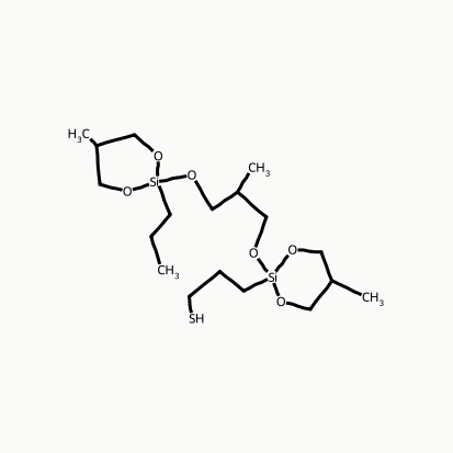 CCC[Si]1(OCC(C)CO[Si]2(CCCS)OCC(C)CO2)OCC(C)CO1